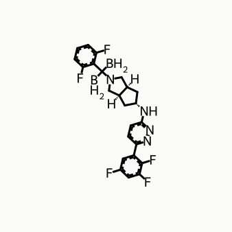 BC(B)(c1c(F)cccc1F)N1C[C@H]2C[C@H](Nc3ccc(-c4cc(F)cc(F)c4F)nn3)C[C@H]2C1